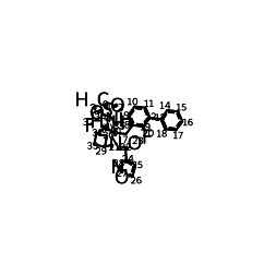 CS(=O)(=O)N[C@@H]1[C@H](Cc2cccc(-c3ccccc3)c2F)N(C(=O)c2ccon2)C2CC1(F)C2